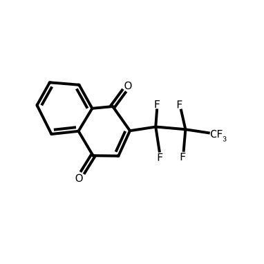 O=C1C=C(C(F)(F)C(F)(F)C(F)(F)F)C(=O)c2ccccc21